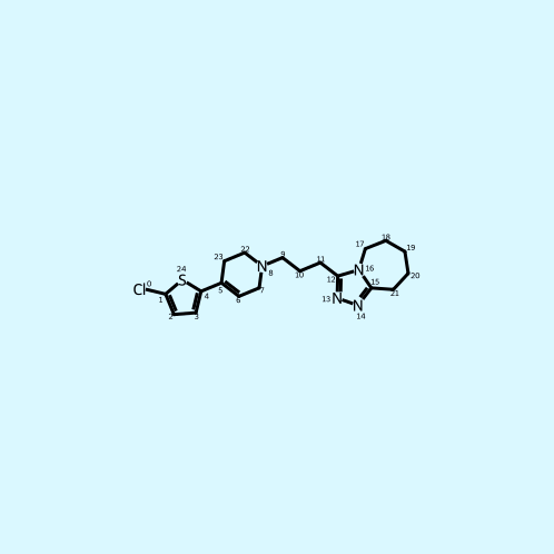 Clc1ccc(C2=CCN(CCCc3nnc4n3CCCCC4)CC2)s1